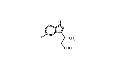 C[C@H](CC=O)c1c[nH]c2ccc(F)cc12